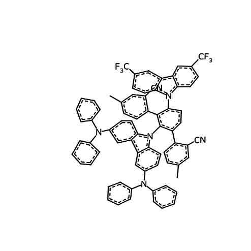 Cc1ccc(-c2ccc(-n3c4ccc(C(F)(F)F)cc4c4cc(C(F)(F)F)ccc43)c(-c3ccc(C)cc3C#N)c2-n2c3ccc(N(c4ccccc4)c4ccccc4)cc3c3cc(N(c4ccccc4)c4ccccc4)ccc32)c(C#N)c1